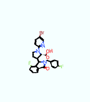 O=C(O)[C@@H]1C(C2c3c(F)cccc3C(=O)N2Cc2ccc(F)cc2)CCN1c1ccc(Br)cn1